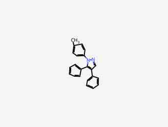 Cc1ccc(-n2ncc(-c3ccccc3)c2-c2ccccc2)cc1